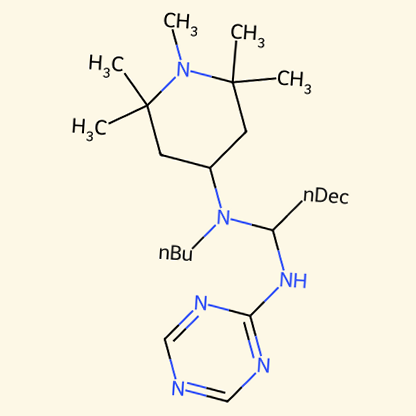 CCCCCCCCCCC(Nc1ncncn1)N(CCCC)C1CC(C)(C)N(C)C(C)(C)C1